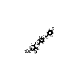 CC(C)(C)n1ncc(OCc2ccc(OCc3ccc(F)cc3)nc2)c(Cl)c1=O